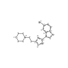 Brc1ccc2ncc(-c3noc(CCN4CCOCC4)n3)n2c1